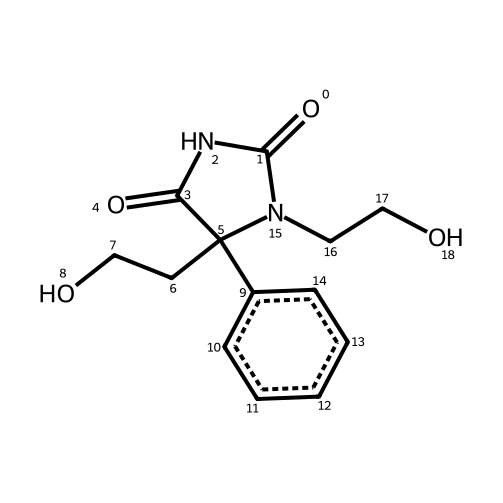 O=C1NC(=O)C(CCO)(c2ccccc2)N1CCO